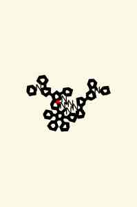 c1ccc(-c2c(-c3ccccc3)c(-c3ccccc3)c(-c3nc(-n4c5ccccc5c5cc(-c6ccc7c(c6)c6ccccc6n7-c6ccccc6)ccc54)nc(-n4c5ccccc5c5cc(-c6ccc7c(c6)c6ccccc6n7-c6ccccc6)ccc54)n3)c(-c3ccccc3)c2-c2ccccc2)cc1